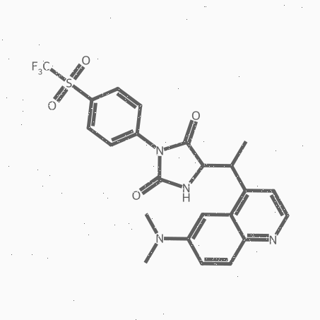 CC(c1ccnc2ccc(N(C)C)cc12)C1NC(=O)N(c2ccc(S(=O)(=O)C(F)(F)F)cc2)C1=O